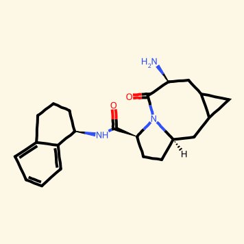 N[C@H]1CC2CC2C[C@H]2CC[C@@H](C(=O)N[C@@H]3CCCc4ccccc43)N2C1=O